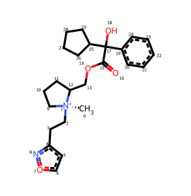 C[N@+]1(CCc2ccon2)CCCC1COC(=O)C(O)(c1ccccc1)C1CCCC1